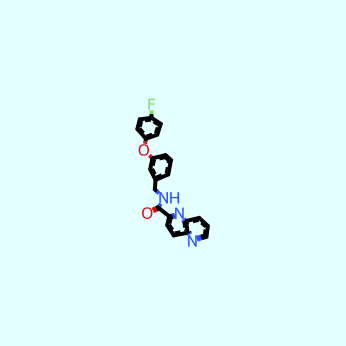 O=C(NCc1cccc(Oc2ccc(F)cc2)c1)c1ccc2ncccc2n1